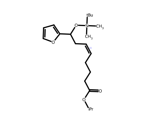 CC(C)OC(=O)CCC/C=C\CC(O[Si](C)(C)C(C)(C)C)c1ccco1